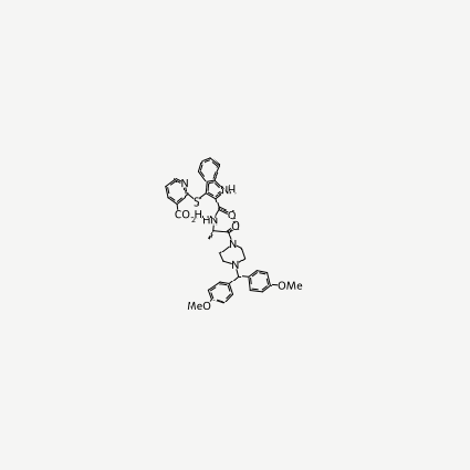 COc1ccc(C(c2ccc(OC)cc2)N2CCN(C(=O)[C@@H](C)NC(=O)c3[nH]c4ccccc4c3Sc3ncccc3C(=O)O)CC2)cc1